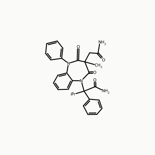 CC(C)C(C(N)=O)(c1ccccc1)N1C(=O)C(C)(CC(N)=O)C(=O)N(c2ccccc2)c2ccccc21